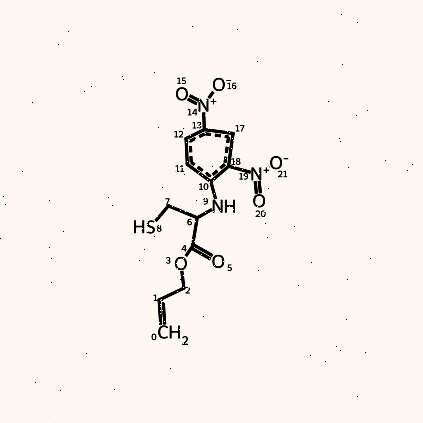 C=CCOC(=O)C(CS)Nc1ccc([N+](=O)[O-])cc1[N+](=O)[O-]